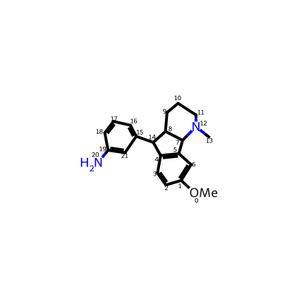 COc1ccc2c(c1)C1C(CCCN1C)C2c1cccc(N)c1